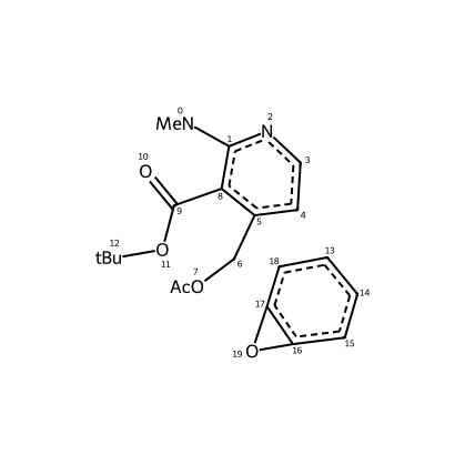 CNc1nccc(COC(C)=O)c1C(=O)OC(C)(C)C.c1ccc2c(c1)O2